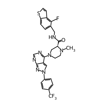 CN1CCN(c2ncnc3nn(-c4ccc(C(F)(F)F)cc4)cc23)C[C@H]1C(=O)NCc1ccc2sccc2c1F